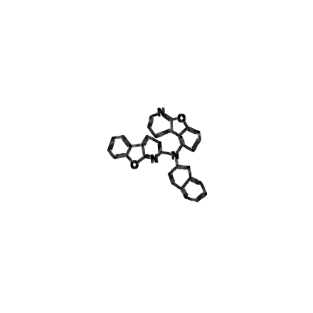 c1ccc2cc(N(c3ccc4c(n3)oc3ccccc34)c3cccc4oc5ncccc5c34)ccc2c1